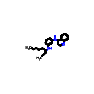 CC/C=C(\CCCCC)Nc1cccc(Nc2ccnc3ccccc23)c1